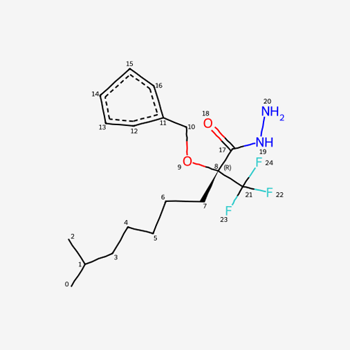 CC(C)CCCCC[C@@](OCc1ccccc1)(C(=O)NN)C(F)(F)F